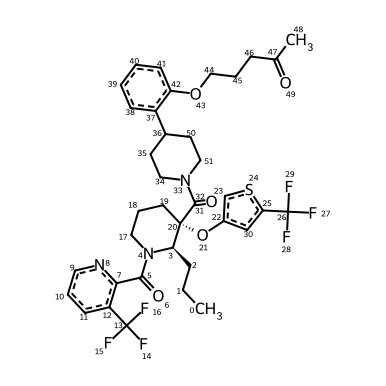 CCC[C@H]1N(C(=O)c2ncccc2C(F)(F)F)CCC[C@@]1(Oc1csc(C(F)(F)F)c1)C(=O)N1CCC(c2ccccc2OCCCC(C)=O)CC1